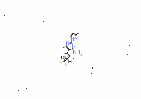 Cc1ccn(-c2nc(C)c(C3C[C@@H]4[C@H](C3)C4(F)F)c(N)n2)n1